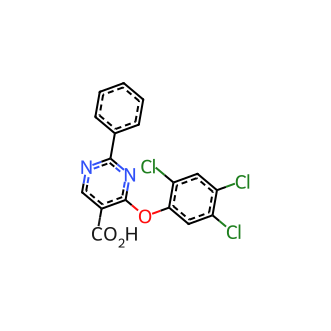 O=C(O)c1cnc(-c2ccccc2)nc1Oc1cc(Cl)c(Cl)cc1Cl